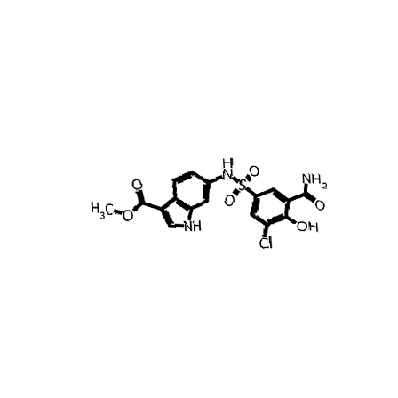 COC(=O)c1c[nH]c2cc(NS(=O)(=O)c3cc(Cl)c(O)c(C(N)=O)c3)ccc12